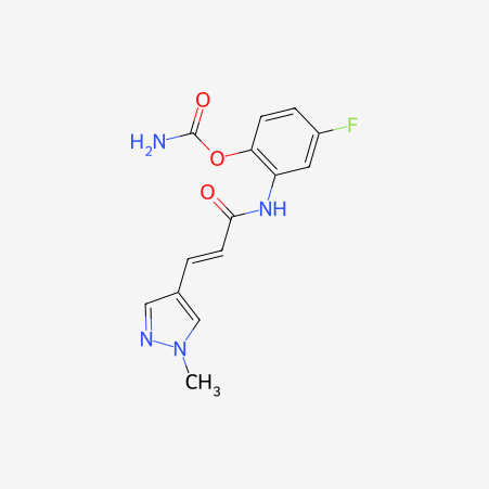 Cn1cc(C=CC(=O)Nc2cc(F)ccc2OC(N)=O)cn1